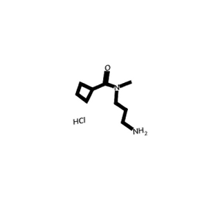 CN(CCCN)C(=O)C1CCC1.Cl